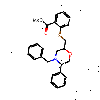 COC(=O)c1ccccc1SC[C@@H]1CN(Cc2ccccc2)C(c2ccccc2)CO1